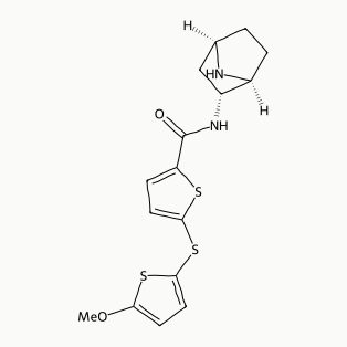 COc1ccc(Sc2ccc(C(=O)N[C@@H]3C[C@H]4CC[C@@H]3N4)s2)s1